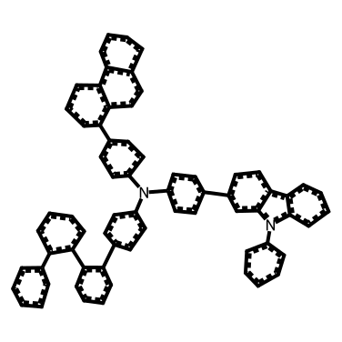 c1ccc(-c2ccccc2-c2ccccc2-c2ccc(N(c3ccc(-c4ccc5c6ccccc6n(-c6ccccc6)c5c4)cc3)c3ccc(-c4cccc5c4ccc4ccccc45)cc3)cc2)cc1